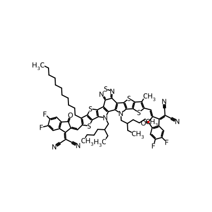 CCCCCCCCCCCc1c(/C=C2\C(=O)c3cc(F)c(F)cc3C2=C(C#N)C#N)sc2c1sc1c3c4nsnc4c4c5sc6c(C)c(/C=C7\C(=O)c8cc(F)c(F)cc8C7=C(C#N)C#N)sc6c5n(CC(CC)CCCC)c4c3n(CC(CC)CCCC)c21